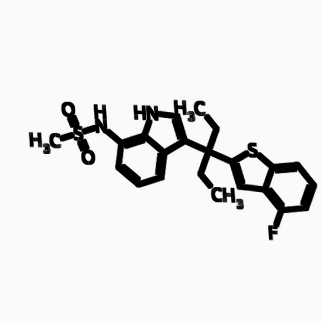 CCC(CC)(c1cc2c(F)cccc2s1)c1c[nH]c2c(NS(C)(=O)=O)cccc12